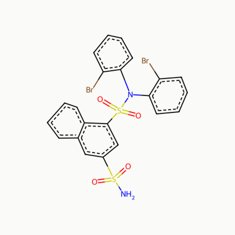 NS(=O)(=O)c1cc(S(=O)(=O)N(c2ccccc2Br)c2ccccc2Br)c2ccccc2c1